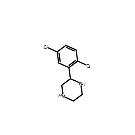 Clc1ccc(Cl)c(C2CNCCN2)c1